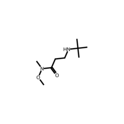 CON(C)C(=O)CCNC(C)(C)C